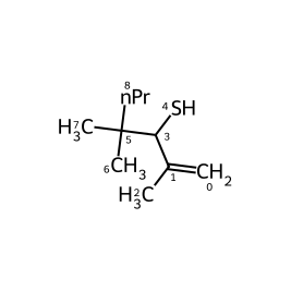 C=C(C)C(S)C(C)(C)CCC